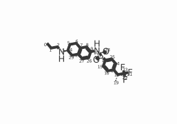 CCCN[C@H]1CCc2cc(NS(=O)(=O)c3ccc([C@@H](C)C(F)(F)F)cc3)ccc2C1